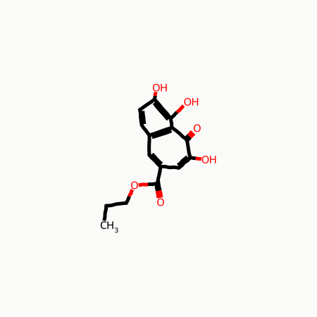 CCCOC(=O)c1cc(O)c(=O)c2c(O)c(O)ccc2c1